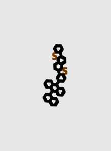 c1ccc2c(-c3c4ccccc4c(-c4ccc5sc6c(ccc7c6ccc6c8ccccc8sc67)c5c4)c4ccccc34)cccc2c1